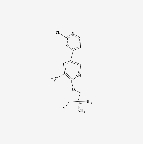 Cc1cc(-c2ccnc(Cl)c2)cnc1OC[C@@](C)(N)CC(C)C